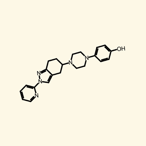 Oc1ccc(N2CCN(C3CCc4nn(-c5ccccn5)cc4C3)CC2)cc1